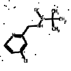 CC(C)(C)[S+]([O-])NCc1cc(Cl)ccn1